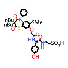 CCCCC1(CCCC)C(=O)Sc2cc(OCC(=O)N[C@@H](C(=O)NCCS(=O)(=O)O)c3ccc(O)cc3)c(SC)cc2N(c2ccccc2)C1=O